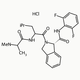 CNC(C)C(=O)NC(CC(C)C)C(=O)N1Cc2ccccc2[C@H]1C(=O)Nc1c(F)cccc1F.Cl